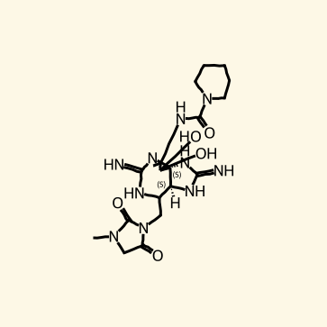 CN1CC(=O)N(CC2NC(=N)N3CC(NC(=O)N4CCCCC4)C(O)(O)[C@@]34NC(=N)N[C@@H]24)C1=O